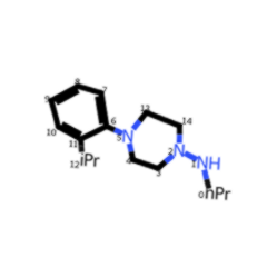 CCCNN1CCN(c2ccccc2C(C)C)CC1